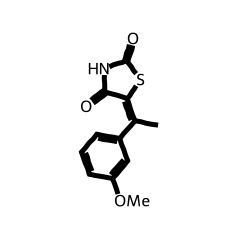 COc1cccc(/C(C)=C2/SC(=O)NC2=O)c1